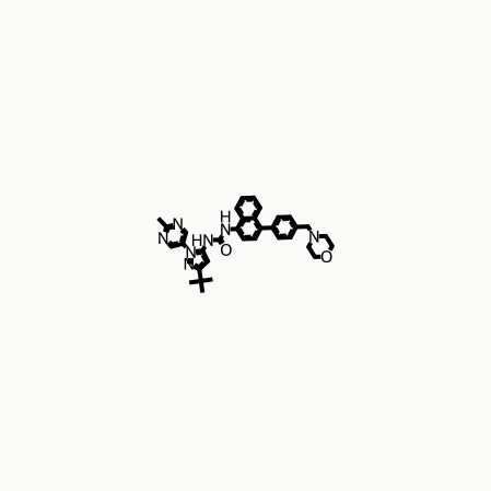 Cc1ncc(-n2nc(C(C)(C)C)cc2NC(=O)Nc2ccc(-c3ccc(CN4CCOCC4)cc3)c3ccccc23)cn1